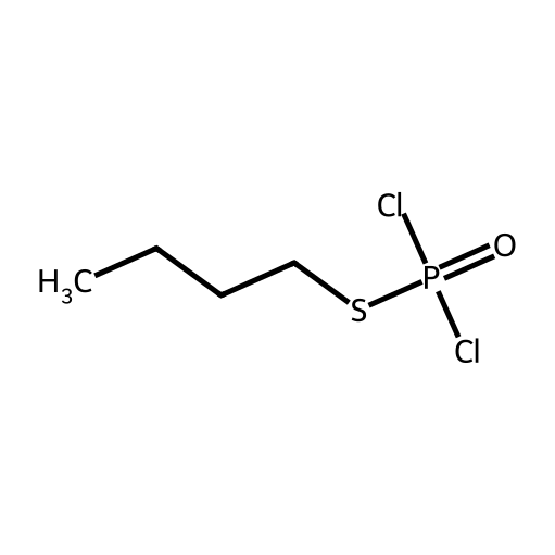 CCCCSP(=O)(Cl)Cl